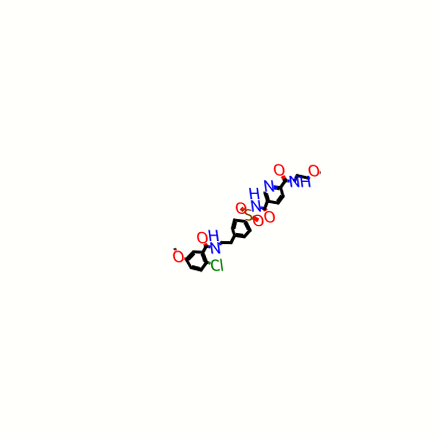 COCCNC(=O)c1ccc(C(=O)NS(=O)(=O)c2ccc(CCNC(=O)c3cc(OC)ccc3Cl)cc2)cn1